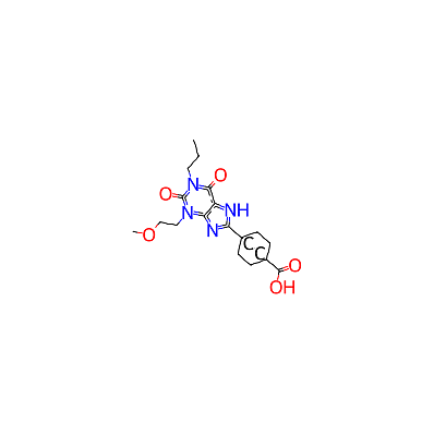 CCCn1c(=O)c2[nH]c(C34CCC(C(=O)O)(CC3)CC4)nc2n(CCOC)c1=O